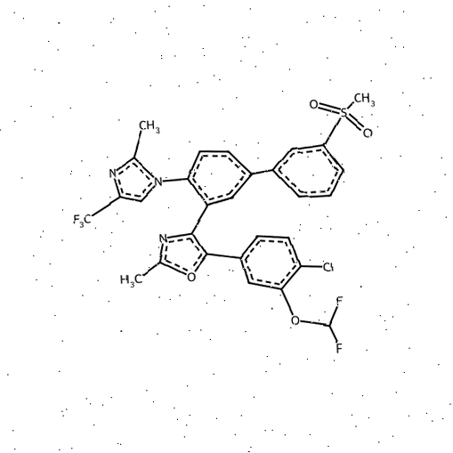 Cc1nc(-c2cc(-c3cccc(S(C)(=O)=O)c3)ccc2-n2cc(C(F)(F)F)nc2C)c(-c2ccc(Cl)c(OC(F)F)c2)o1